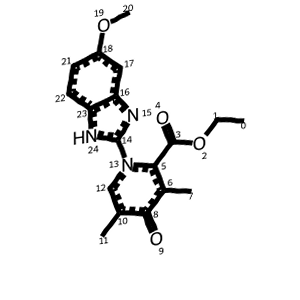 CCOC(=O)c1c(C)c(=O)c(C)cn1-c1nc2cc(OC)ccc2[nH]1